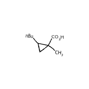 CCCCC1CC1(C)C(=O)O